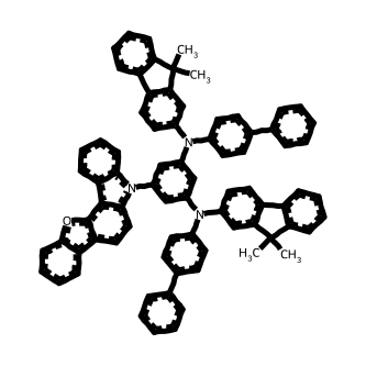 CC1(C)c2ccccc2-c2ccc(N(c3ccc(-c4ccccc4)cc3)c3cc(N(c4ccc(-c5ccccc5)cc4)c4ccc5c(c4)C(C)(C)c4ccccc4-5)cc(-n4c5ccccc5c5c6oc7ccccc7c6ccc54)c3)cc21